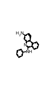 Nc1c#cc2c(c1)nc(Nc1ccccc1)c1ccccc12